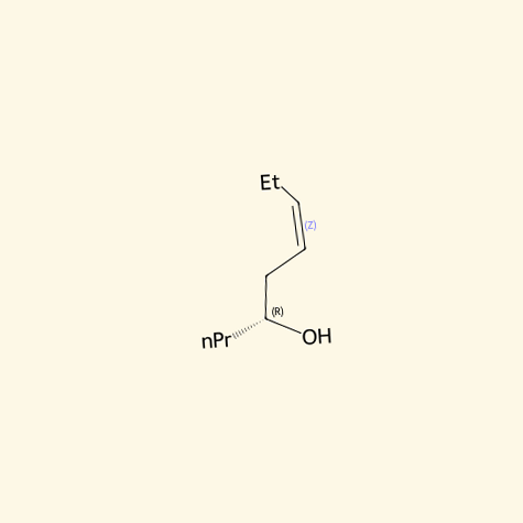 CC/C=C\C[C@H](O)CCC